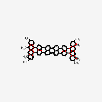 Cc1ccc(N(c2ccc(C)cc2)c2ccc(-c3ccc4c5ccc(-c6ccc(N(c7ccc(C)cc7)c7ccc(C)cc7)cc6)c6c(-c7ccc(N(c8ccc(C)cc8)c8cccc(C)c8)cc7)ccc(c7ccc(-c8ccc(N(c9ccc(C)cc9)c9ccc(C)cc9)cc8)c3c47)c65)cc2)cc1